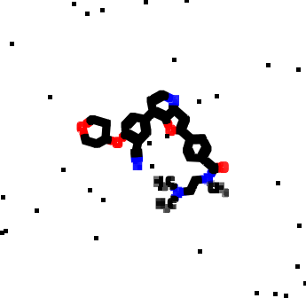 CN(C)CCN(C)C(=O)c1ccc(-c2cc3nccc(-c4ccc(OC5CCOCC5)c(C#N)c4)c3o2)cc1